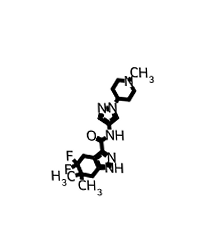 CN1CCC(n2cc(NC(=O)c3n[nH]c4c3CC(F)(F)C(C)(C)C4)cn2)CC1